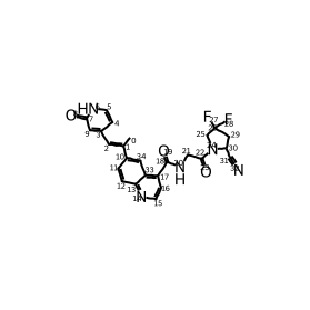 CC(=Cc1cc[nH]c(=O)c1)c1ccc2nccc(C(=O)NCC(=O)N3CC(F)(F)CC3C#N)c2c1